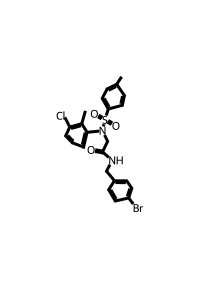 Cc1ccc(S(=O)(=O)N(CC(=O)NCc2ccc(Br)cc2)c2cccc(Cl)c2C)cc1